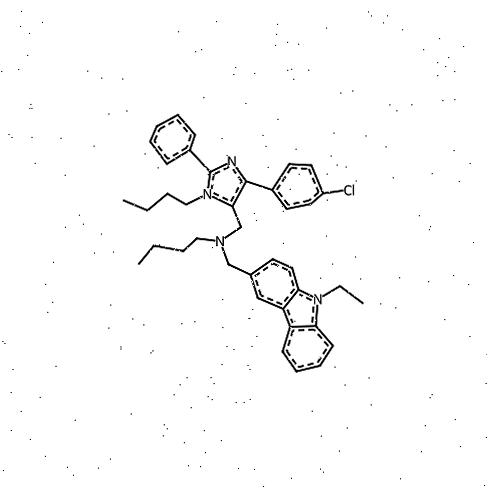 CCCCN(Cc1ccc2c(c1)c1ccccc1n2CC)Cc1c(-c2ccc(Cl)cc2)nc(-c2ccccc2)n1CCCC